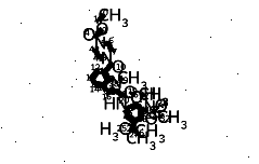 CCOC(=O)N1CCN(C(=O)c2cccc3cc(C(=O)Nc4cc(C(C)(C)C)cc(NS(C)(=O)=O)c4OC)n(C)c23)CC1